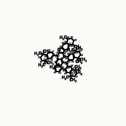 Cc1cc2c3c(c1)N(c1ccc4c(c1)C(C)(C)CCC4(C)C)c1oc4cc5c(cc4c1B3c1cc3c(cc1N2c1cc2c(cc1-c1ccccc1)C(C)(C)CCC2(C)C)C(C)(C)CCC3(C)C)C1(C)CCC5(C)CC1